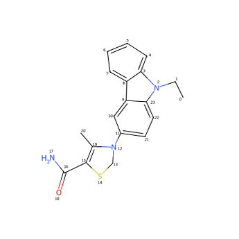 CCn1c2ccccc2c2cc(N3CSC(C(N)=O)=C3C)ccc21